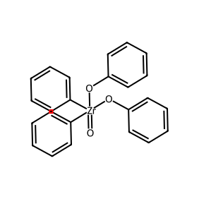 [O]=[Zr]([O]c1ccccc1)([O]c1ccccc1)([c]1ccccc1)[c]1ccccc1